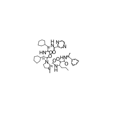 CCCC(NC(=O)[C@@H]1[C@@H](I)CCN1C(=O)[C@@H](NC(=O)[C@@H](NC(=O)c1cnccn1)C1CCCCC1)C1CCCCC1)C(=O)C(=O)N[C@@H](C)c1ccccc1